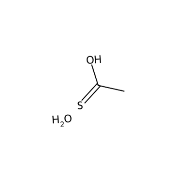 CC(O)=S.O